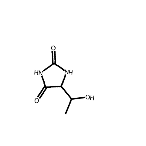 CC(O)C1NC(=O)NC1=O